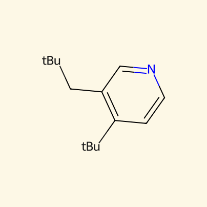 CC(C)(C)Cc1cnccc1C(C)(C)C